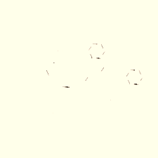 CCCC(=O)O[C@@H]1[C@@H](OC(=O)CCC)[C@H](C)O[C@H](Oc2ccccc2C(=O)OCc2ccccc2)[C@@H]1OC(=O)CCC